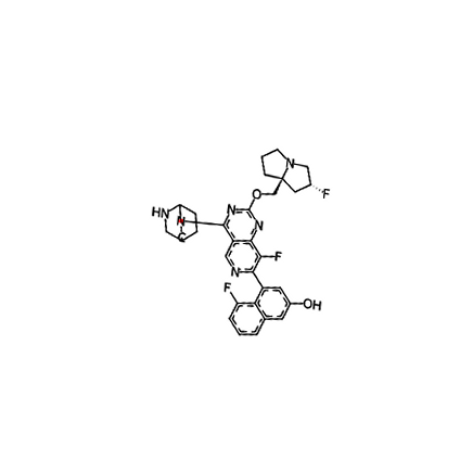 Oc1cc(-c2ncc3c(N4CC5CCC(C4)NC5)nc(OC[C@@]45CCCN4C[C@H](F)C5)nc3c2F)c2c(F)cccc2c1